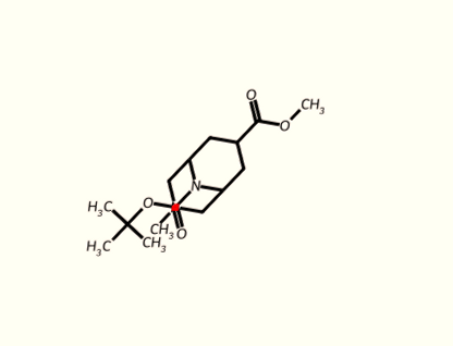 COC(=O)C1CC2CN(C)CC(C1)N2C(=O)OC(C)(C)C